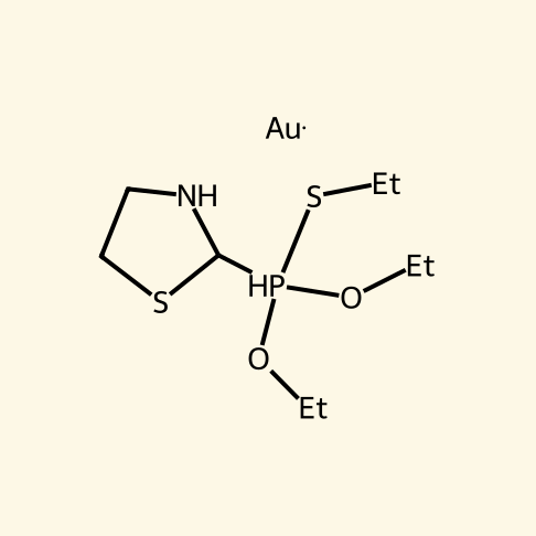 CCO[PH](OCC)(SCC)C1NCCS1.[Au]